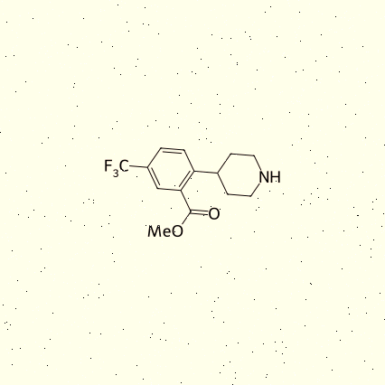 COC(=O)c1cc(C(F)(F)F)ccc1C1CCNCC1